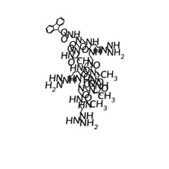 CNC(=O)C(CCCNC(=N)N)NC(=O)CN(CCNC(=O)C(CCCNC(=N)N)NC(=O)CN(CCNC(=O)C(CCCNC(=N)N)NC(=O)CN(CCNC(=O)OCC1c2ccccc2-c2ccccc21)C(=O)Cn1cc(C)c(=O)[nH]c1=O)C(=O)Cn1cc(C)c(=O)[nH]c1=O)C(=O)Cn1cc(C)c(=O)[nH]c1=O